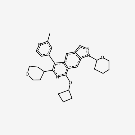 Cc1cc(-c2c(C3CCOCC3)nc(OC3CCC3)c3cc4c(cnn4C4CCCCO4)cc23)ccn1